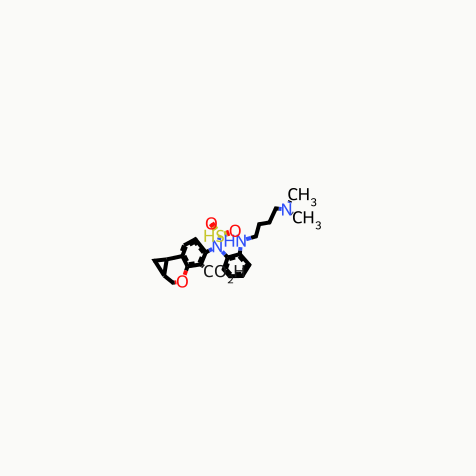 CN(C)CCCCNc1ccccc1N(c1ccc2c(c1C(=O)O)OCC1CC21)[SH](=O)=O